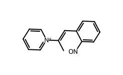 CC(=Cc1ccccc1N=O)[n+]1ccccc1